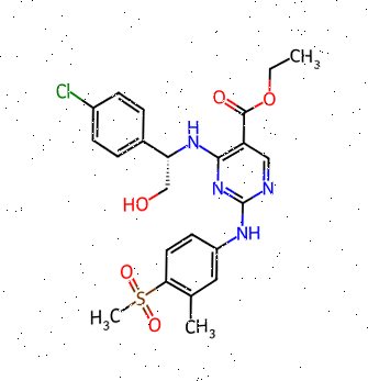 CCOC(=O)c1cnc(Nc2ccc(S(C)(=O)=O)c(C)c2)nc1N[C@H](CO)c1ccc(Cl)cc1